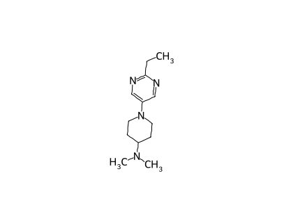 CCc1ncc(N2CCC(N(C)C)CC2)cn1